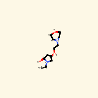 CC(C)(C)CN1CC(OCCN2CCOCC2)CC1=O